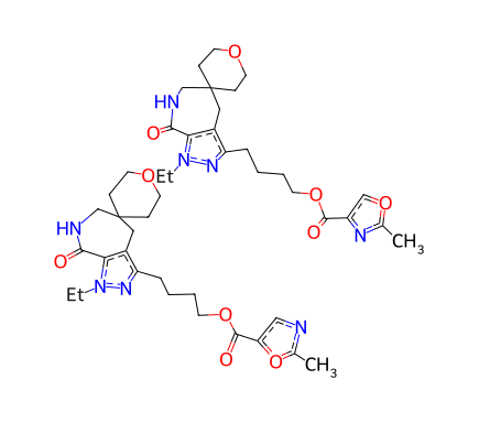 CCn1nc(CCCCOC(=O)c2cnc(C)o2)c2c1C(=O)NCC1(CCOCC1)C2.CCn1nc(CCCCOC(=O)c2coc(C)n2)c2c1C(=O)NCC1(CCOCC1)C2